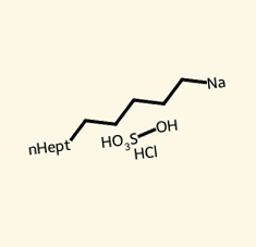 CCCCCCCCCCC[CH2][Na].Cl.O=S(=O)(O)O